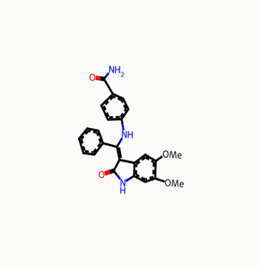 COc1cc2c(cc1OC)C(=C(Nc1ccc(C(N)=O)cc1)c1ccccc1)C(=O)N2